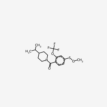 COSc1ccc(C(=O)N2CCC(C(C)C)CC2)c(OC(F)(F)F)c1